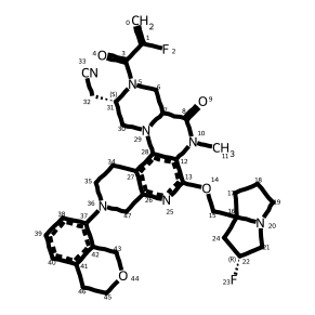 C=C(F)C(=O)N1CC2C(=O)N(C)c3c(OCC45CCCN4C[C@H](F)C5)nc4c(c3N2C[C@@H]1CC#N)CCN(c1cccc2c1COCC2)C4